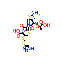 C=C(O/N=C(\C(=O)N[C@@H]1C(=O)N2C(C(=O)O)=C(SCSc3c[nH]nn3)CS[C@@H]12)c1csc(N)n1)C(=O)O